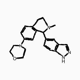 CN1CCc2ccc(N3CCOCC3)cc2C1c1ccc2[nH]ncc2c1